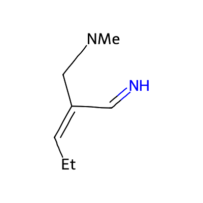 CC/C=C(\C=N)CNC